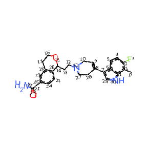 Cc1c(F)ccc2c(C3=CCN(CCC4OCCc5cc(C(N)=O)ccc54)CC3)c[nH]c12